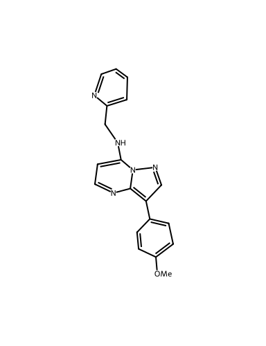 COc1ccc(-c2cnn3c(NCc4ccccn4)ccnc23)cc1